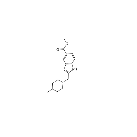 COC(=O)c1ccc2[nH]c(CC3CCC(C)CC3)cc2c1